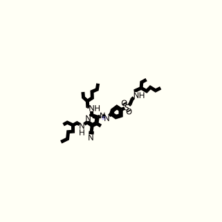 CCCCC(CC)CNCCS(=O)(=O)c1ccc(/N=N/c2c(NCC(CC)CCCC)nc(NCC(CC)CCCC)c(C#N)c2C)cc1